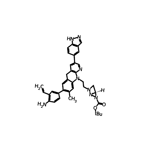 C=Cc1cc(-c2cc3c(cc2C)N(CCN2C[C@H]4N(C(=O)OC(C)(C)C)N42)c2ncc(-c4ccc5[nH]ncc5c4)cc2C3)ccc1N